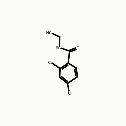 N#CC[Se]C(=O)c1ccc(Cl)cc1Cl